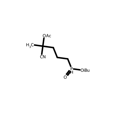 CC(=O)OC(C)(C#N)CCC[PH](=O)OCC(C)C